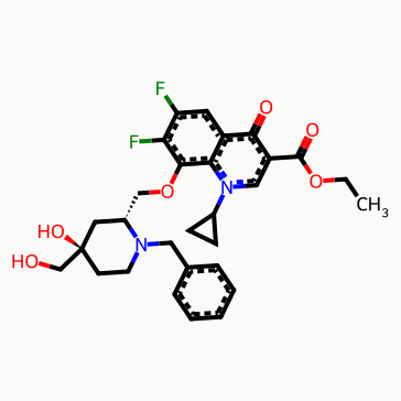 CCOC(=O)c1cn(C2CC2)c2c(OC[C@H]3C[C@@](O)(CO)CCN3Cc3ccccc3)c(F)c(F)cc2c1=O